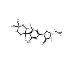 O=C1O[C@@H](CO)CN1c1cc(F)c(C2(F)CCS(=O)(=O)CC2)c(Cl)c1